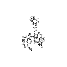 Cc1cc(OCCCc2c3n(c4c(-c5c(C)nn(C)c5C)c(Cl)ccc24)C(C)CN(c2ccnc4ccc(C#N)cc24)C3=O)cc(C)c1Cl